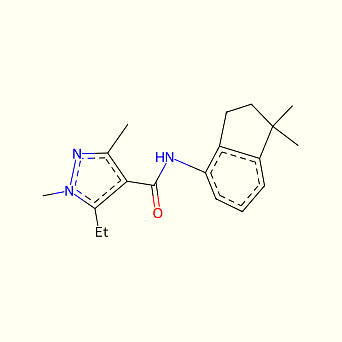 CCc1c(C(=O)Nc2cccc3c2CCC3(C)C)c(C)nn1C